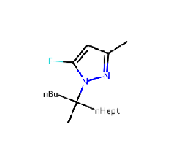 CCCCCCCC(C)(CCCC)n1nc(C)cc1F